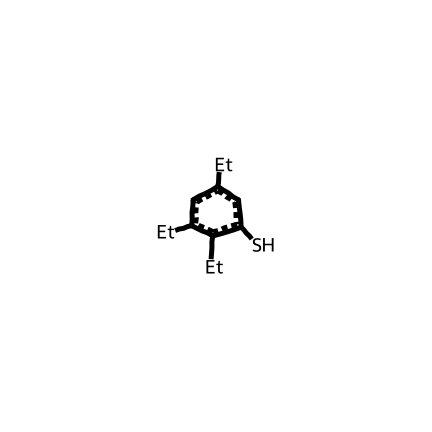 CCc1cc(S)c(CC)c(CC)c1